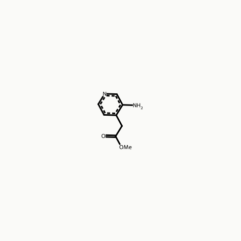 COC(=O)Cc1ccncc1N